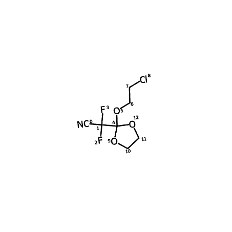 N#CC(F)(F)C1(OCCCl)OCCO1